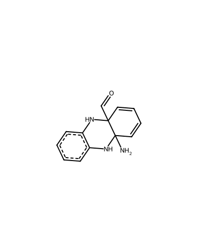 NC12C=CC=CC1(C=O)Nc1ccccc1N2